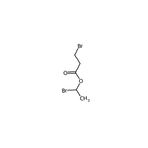 CC(Br)OC(=O)CCBr